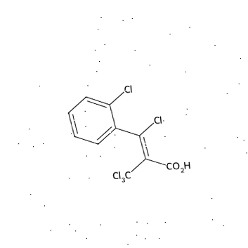 O=C(O)C(=C(Cl)c1ccccc1Cl)C(Cl)(Cl)Cl